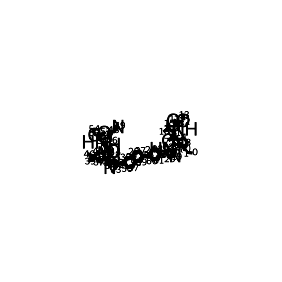 CC[C@@H]1CCN(C(=O)[C@@H](NC(=O)OC)C(C)C)[C@@H]1c1ncc(-c2ccc(-c3ccc4cc(-c5cnc([C@@H]6CC7(CC7)CN6C(=O)[C@H](CCC#N)NC(=O)OC)[nH]5)ccc4c3)cc2)[nH]1